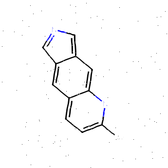 CC(=O)c1ccc2cc3cncc3cc2[nH]1